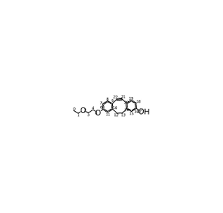 CCOCCOc1ccc2c(c1)CCc1cc(O)ccc1C#C2